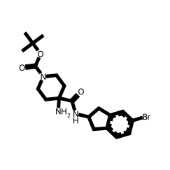 CC(C)(C)OC(=O)N1CCC(N)(C(=O)NC2Cc3ccc(Br)cc3C2)CC1